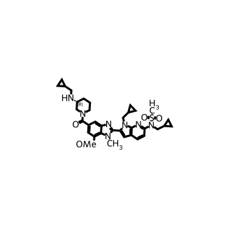 COc1cc(C(=O)N2CCC[C@@H](NCC3CC3)C2)cc2nc(-c3cc4ccc(N(CC5CC5)S(C)(=O)=O)nc4n3CC3CC3)n(C)c12